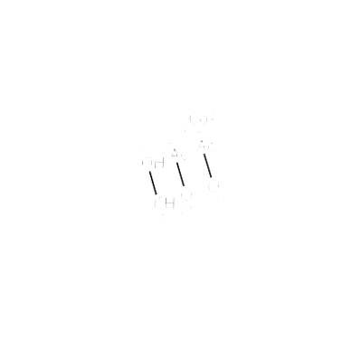 CC(=O)[O-].CC(=O)[O-].CO.[Co+2]